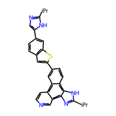 CC(C)c1ncc(-c2ccc3cc(-c4ccc5c(c4)c4ccncc4c4nc(C(C)C)[nH]c54)sc3c2)[nH]1